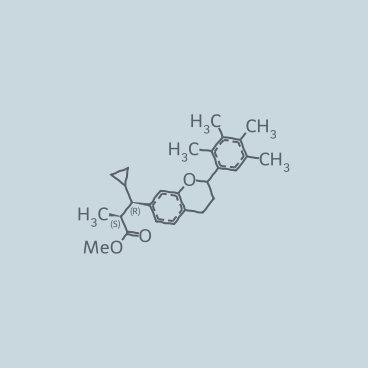 COC(=O)[C@@H](C)[C@H](c1ccc2c(c1)OC(c1cc(C)c(C)c(C)c1C)CC2)C1CC1